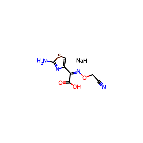 N#CCON=C(C(=O)O)c1csc(N)n1.[NaH]